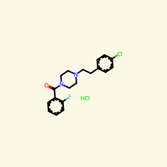 Cl.O=C(c1ccccc1F)N1CCN(CCc2ccc(Cl)cc2)CC1